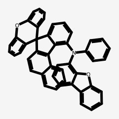 c1ccc(N(c2cccc3c2-c2c(ccc4ccccc24)C32c3ccccc3Oc3ccccc32)c2cccc3c2oc2ccccc23)cc1